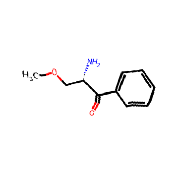 COC[C@H](N)C(=O)c1ccccc1